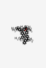 CC(C)c1cc2c3c(c1)N1c4cc5ccccc5cc4C(C)(C)c4cccc(c41)B3N(c1cccc(C(C)(C)C)c1)c1cc(N(c3ccc(C(C)(C)C)cc3)c3ccc(C(C)(C)C)cc3)ccc1-2